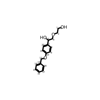 OCCOCC(O)c1ccc(OCc2ccccc2)cc1